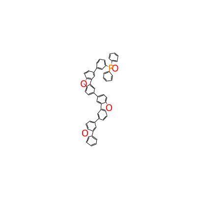 O=P(c1ccccc1)(c1ccccc1)c1cccc(-c2ccc3oc4ccc(-c5ccc6oc7ccc(-c8ccc9oc%10ccccc%10c9c8)cc7c6c5)cc4c3c2)c1